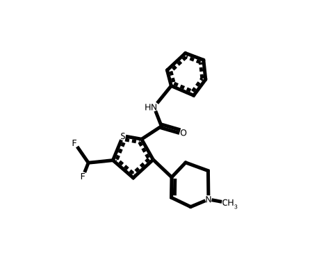 CN1CC=C(c2cc(C(F)F)sc2C(=O)Nc2ccccc2)CC1